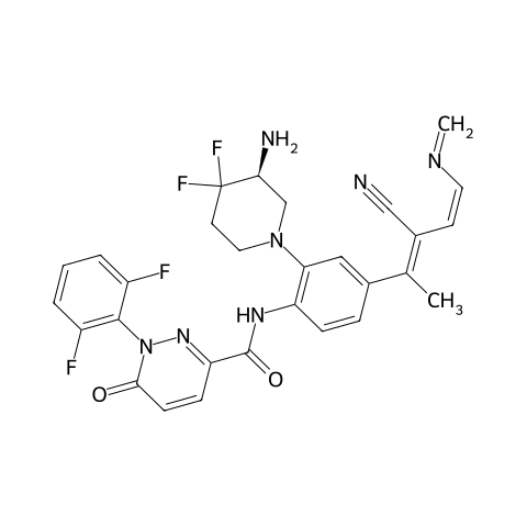 C=N/C=C\C(C#N)=C(/C)c1ccc(NC(=O)c2ccc(=O)n(-c3c(F)cccc3F)n2)c(N2CCC(F)(F)[C@@H](N)C2)c1